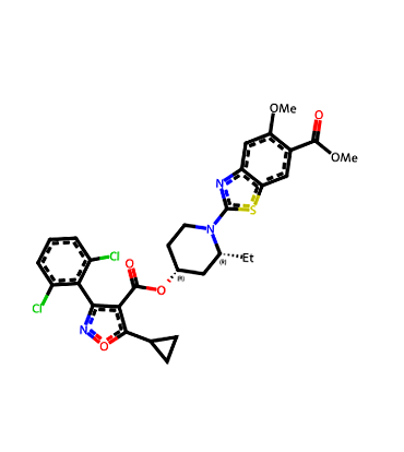 CC[C@@H]1C[C@H](OC(=O)c2c(-c3c(Cl)cccc3Cl)noc2C2CC2)CCN1c1nc2cc(OC)c(C(=O)OC)cc2s1